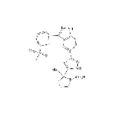 CC(C)(C)C1(c2nc(-c3ccc4[nH]nc(-c5cccc(S(C)(=O)=O)c5)c4c3)n[nH]2)CCCN1C(=O)O